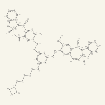 COc1cc2c(cc1OCc1cc(COc3cc4c(cc3C)C(=O)N3c5ccccc5C[C@H]3CN4)cc(OCCCCCC3CCC3)c1)N=C[C@@H]1Cc3ccccc3N1C2=O